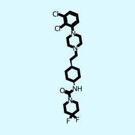 O=C(N[C@H]1CC[C@H](CCN2CCN(c3cccc(Cl)c3Cl)CC2)CC1)N1CCC(F)(F)CC1